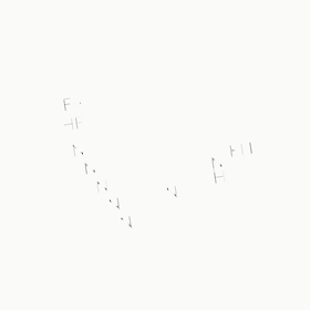 C#N.C#N.C#N.C#N.C#N.C#N.F.N.[Fe].[KH]